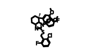 COc1ccc([C@]2(C)CCCC3N=C(SCc4c(F)cccc4Cl)N(c4ccc(F)cc4)C32)cc1OC